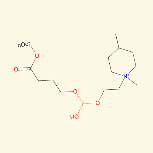 CCCCCCCCOC(=O)CCCOP(O)OCC[N+]1(C)CCC(C)CC1